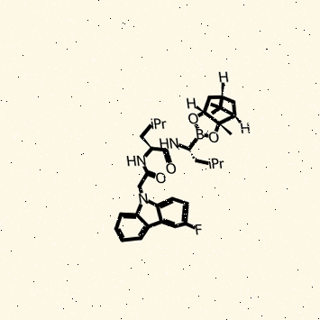 CC(C)C[C@H](NC(=O)[C@H](CC(C)C)NC(=O)Cn1c2ccccc2c2cc(F)ccc21)B1O[C@@H]2C[C@@H]3C[C@@H](C3(C)C)[C@]2(C)O1